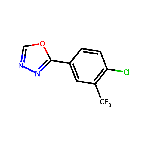 FC(F)(F)c1cc(-c2nnco2)ccc1Cl